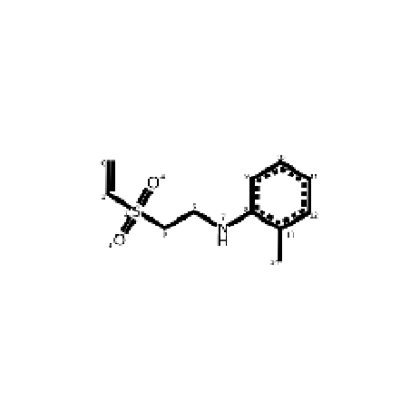 C=CS(=O)(=O)CCNc1ccccc1C